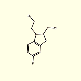 Fc1ccc2c(c1)CC(CCl)N2CCCl